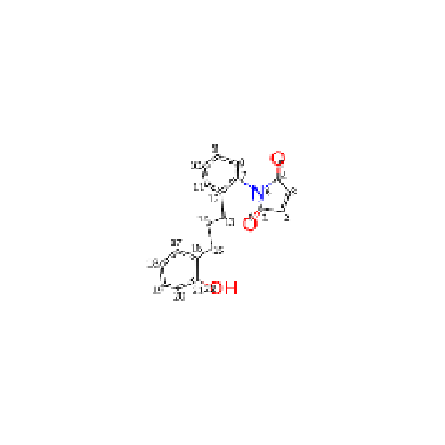 O=C1C=CC(=O)N1c1ccccc1CCCc1ccccc1O